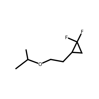 CC(C)OCCC1CC1(F)F